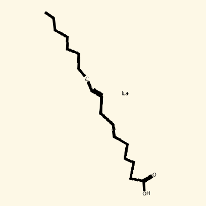 CCCCCCCCC=CCCCCCCCC(=O)O.[La]